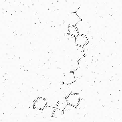 O=S(=O)(Nc1cccc(C(O)CNCCOc2ccc3c(OC(F)F)n[nH]c3c2)c1)c1ccccc1